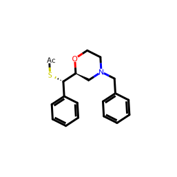 CC(=O)S[C@@H](c1ccccc1)[C@@H]1CN(Cc2ccccc2)CCO1